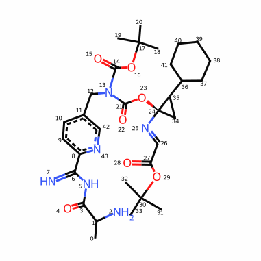 CC(N)C(=O)NC(=N)c1ccc(CN(C(=O)OC(C)(C)C)C(=O)O[C@]2(N=CC(=O)OC(C)(C)C)CC2C2CCCCC2)cn1